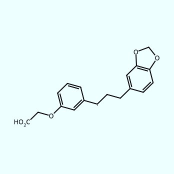 O=C(O)COc1cccc([CH]CCc2ccc3c(c2)OCO3)c1